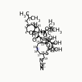 CC(C)C[C@@H]1CCO[C@H]2C(C(=O)N[C@@H]3C/C=C\CC(CN=[N+]=[N-])S[C@H]4O[C@H]3[C@H](O)[C@H](O)[C@H]4O)N(C(=O)OC(C)(C)C)C[C@@H]2C1